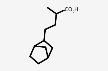 CC(CCC1CC2CCC1C2)C(=O)O